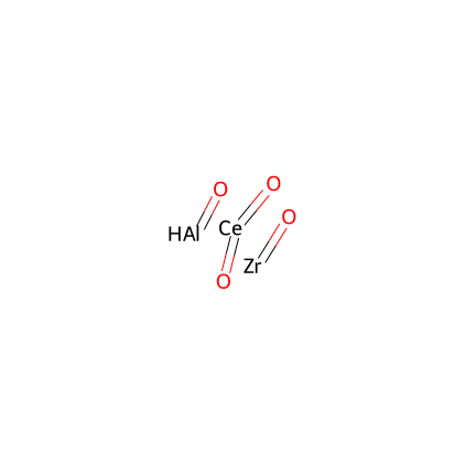 [O]=[AlH].[O]=[Ce]=[O].[O]=[Zr]